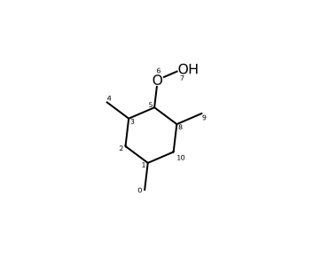 CC1CC(C)C(OO)C(C)C1